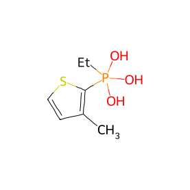 CCP(O)(O)(O)c1sccc1C